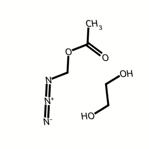 CC(=O)OCN=[N+]=[N-].OCCO